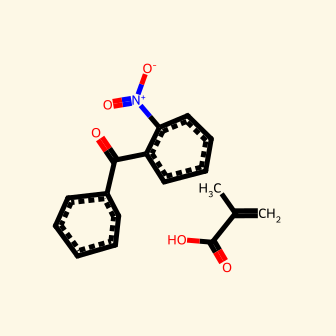 C=C(C)C(=O)O.O=C(c1ccccc1)c1ccccc1[N+](=O)[O-]